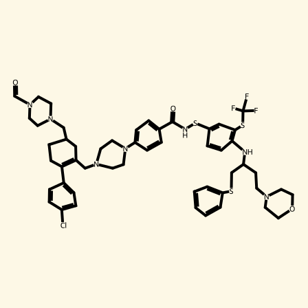 O=CN1CCN(CC2CCC(c3ccc(Cl)cc3)=C(CN3CCN(c4ccc(C(=O)NSc5ccc(NC(CCN6CCOCC6)CSc6ccccc6)c(SC(F)(F)F)c5)cc4)CC3)C2)CC1